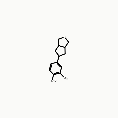 O=Cc1ccc(N2CC3COCC3C2)cc1C(F)(F)F